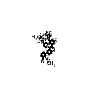 COCOc1c(C#N)cccc1-c1ccc2ncc(-c3cc(F)cc(CN4CC(F)(F)C4)c3)c(N3CCC(NC(=O)OC(C)(C)C)CC3)c2c1